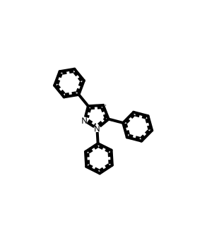 [c]1c(-c2ccccc2)nn(-c2ccccc2)c1-c1ccccc1